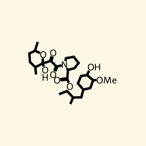 COC1CC(CC(C)C(C)OC(=O)C2CCCCN2C(=O)C(=O)C2(O)OC(C)CCC2C)CCC1O